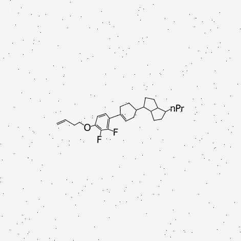 C=CCCOc1ccc(C2=CCC(C3CCC4C(CCC)CCC34)CC2)c(F)c1F